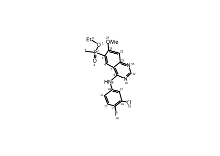 CCOP(C)(=O)c1cc2c(Nc3ccc(F)c(Cl)c3)ncnc2cc1OC